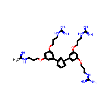 CC(=N)NCCCOc1cc(OCCCNC(=N)N)cc(-c2cccc(-c3cc(OCCCNC(=N)N)cc(OCCCNC(=N)N)c3)c2)c1